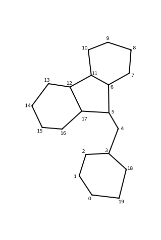 C1CCC(CC2C3CCCCC3C3CCCCC32)CC1